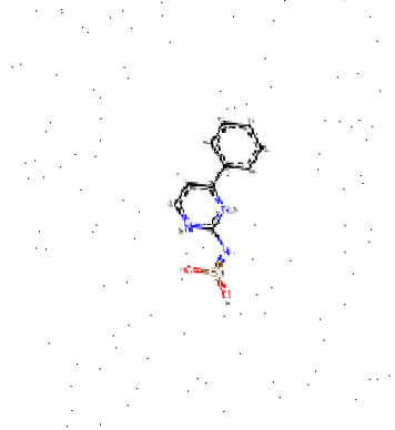 O=S(=O)=Nc1nccc(-c2ccccc2)n1